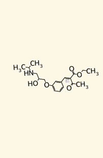 CCOC(=O)/C(=C/c1cccc(OCC(O)CNC(C)C)c1)C(C)=O